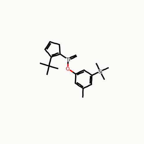 [CH2]=[Ti]([O]c1cc(C)cc([Si](C)(C)C)c1)[C]1=C(C(C)(C)C)C=CC1